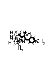 Cc1ccc(-c2nn(C(C)(C)C)c(C(C)(C)C)c2O)cc1